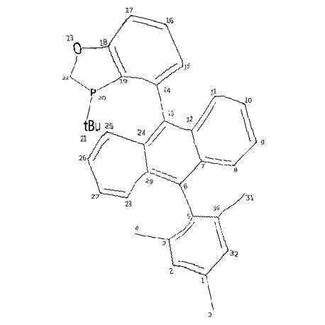 Cc1cc(C)c(-c2c3ccccc3c(-c3cccc4c3P(C(C)(C)C)CO4)c3ccccc23)c(C)c1